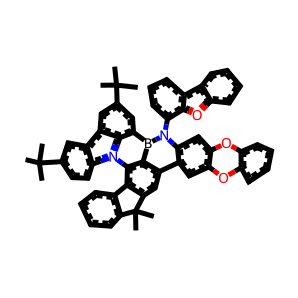 CC(C)(C)c1ccc2c(c1)c1cc(C(C)(C)C)cc3c1n2-c1c2c(cc4c1-c1ccccc1C4(C)C)-c1cc4c(cc1N(c1cccc5c1oc1ccccc15)B23)Oc1ccccc1O4